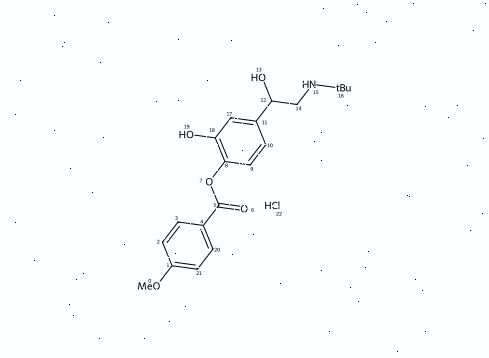 COc1ccc(C(=O)Oc2ccc(C(O)CNC(C)(C)C)cc2O)cc1.Cl